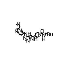 CN(C)Cc1cnc2ccc(Nc3ncnc4[nH]c(C5=CCN(C(=O)NC(C)(C)C)CC5)cc34)cn12